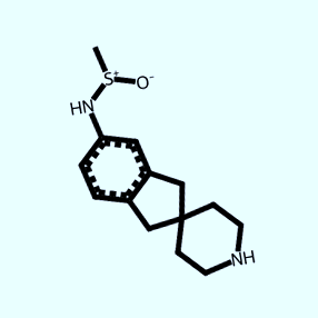 C[S+]([O-])Nc1ccc2c(c1)CC1(CCNCC1)C2